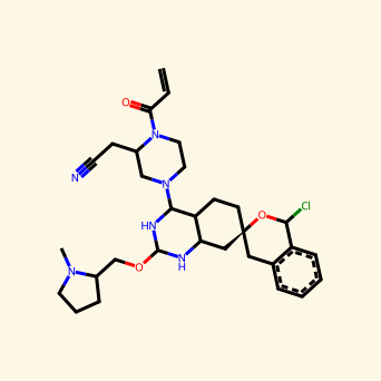 C=CC(=O)N1CCN(C2NC(OCC3CCCN3C)NC3C[C@]4(CCC32)Cc2ccccc2C(Cl)O4)CC1CC#N